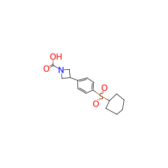 O=C(O)N1CC(c2ccc(S(=O)(=O)C3CCCCC3)cc2)C1